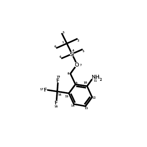 CC(C)(C)[Si](C)(C)OCc1c(N)cccc1C(F)(F)F